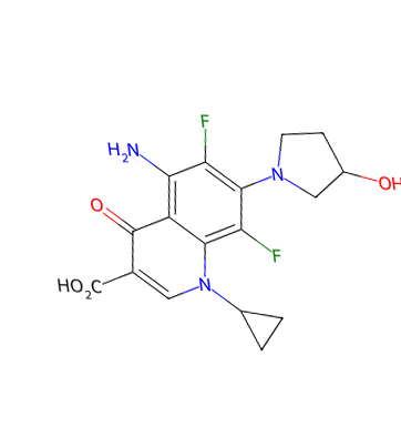 Nc1c(F)c(N2CCC(O)C2)c(F)c2c1c(=O)c(C(=O)O)cn2C1CC1